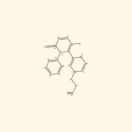 CC1=C(C2=CN(CCC=O)C=CO2)C(c2ccccc2)C(=O)C=C1